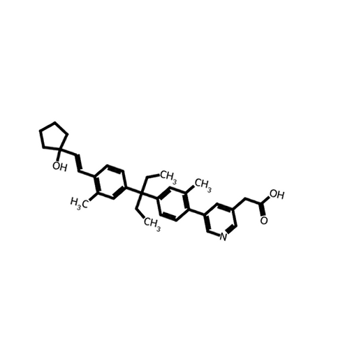 CCC(CC)(c1ccc(C=CC2(O)CCCC2)c(C)c1)c1ccc(-c2cncc(CC(=O)O)c2)c(C)c1